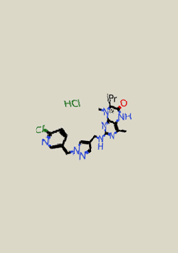 Cc1nc(NCc2cnn(Cc3ccc(Cl)nc3)c2)nc2c1NC(=O)[C@H](C(C)C)N2C.Cl